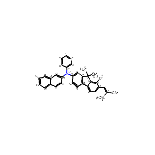 CCc1c(C=C(C#N)C(=O)O)ccc2c1C(C)(C)c1cc(N(c3ccccc3)c3ccc4ccccc4c3)ccc1-2